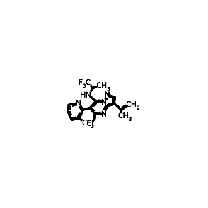 C=C(C)c1cnn2c(NC(C)C(F)(F)F)c(-c3ncccc3C(F)(F)F)c(Cl)nc12